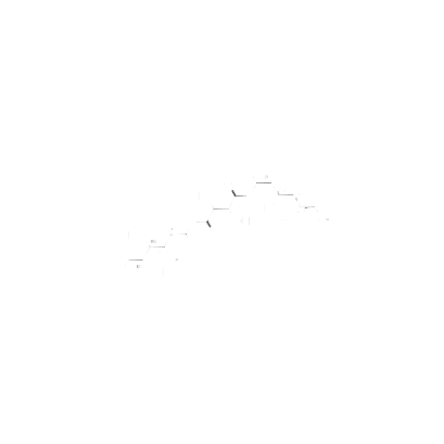 O=C(OC(O)[C@H](O)[C@@H](O)[C@H](O)[C@H](O)CO)C(O)C(O)C(=O)OC(O)[C@H](O)[C@@H](O)[C@H](O)[C@H](O)CO